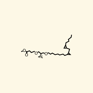 CCCCCC1CC1CC1CC1CCCCCCCCOCC(COCCCC(=O)OC)N(C)C